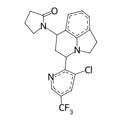 O=C1CCCN1C1CC(c2ncc(C(F)(F)F)cc2Cl)N2CCc3cccc1c32